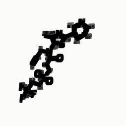 C#CCN(C(=O)CCS(=O)(=O)CCC(F)(F)F)c1sc(-c2cccnc2)nc1C